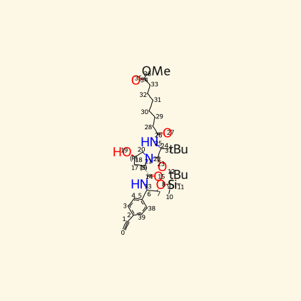 C#Cc1ccc(C(CO[Si](C)(C)C(C)(C)C)NC(=O)[C@@H]2C[C@@H](O)CN2C(=O)C(NC(=O)CCCCCCC(=O)OC)C(C)(C)C)cc1